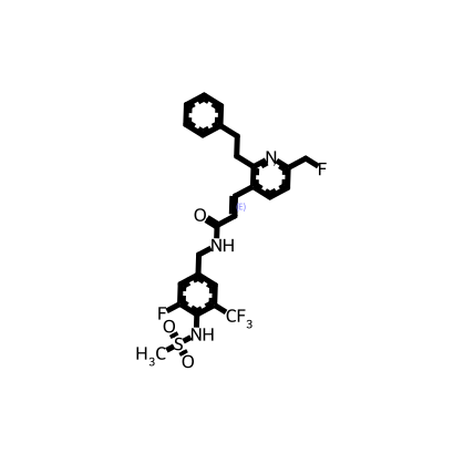 CS(=O)(=O)Nc1c(F)cc(CNC(=O)/C=C/c2ccc(CF)nc2CCc2ccccc2)cc1C(F)(F)F